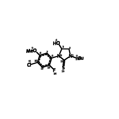 CCCCN1CC(O)N(c2cc(OC)c(Cl)cc2F)C1=S